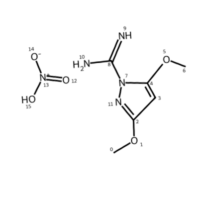 COc1cc(OC)n(C(=N)N)n1.O=[N+]([O-])O